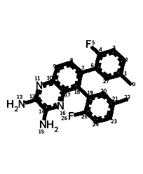 Cc1ccc(F)c(-c2ccc3nc(N)c(N)nc3c2-c2cc(C)ccc2F)c1